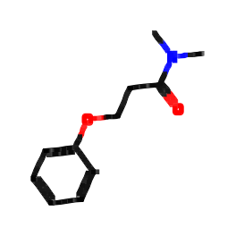 CN(C)C(=O)CCOc1[c]cccc1